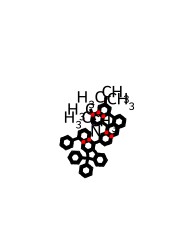 CC(C)(C)c1cc(-c2cccc3cccc(-c4ccccc4N(c4ccc(-c5ccccc5)cc4)c4ccccc4-c4cccc5c4-c4ccccc4C5(c4ccccc4)c4ccccc4)c23)cc(C(C)(C)C)c1